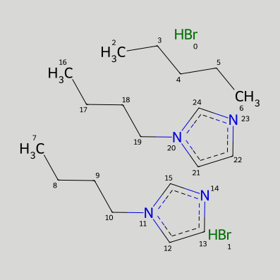 Br.Br.CCCCC.CCCCn1ccnc1.CCCCn1ccnc1